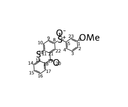 COc1cccc([S+]([O-])c2ccc3sc4ccccc4c(=O)c3c2)c1